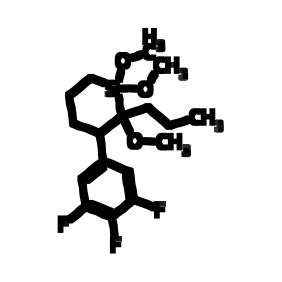 CCCC1(OC)C(c2cc(F)c(F)c(F)c2)CCC[Si]1(OC)OC